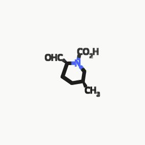 C[C@H]1CC[C@@H](C=O)N(C(=O)O)C1